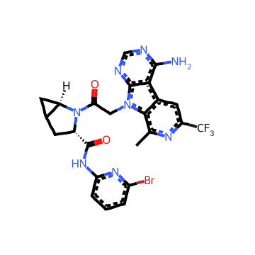 Cc1nc(C(F)(F)F)cc2c3c(N)ncnc3n(CC(=O)N3[C@@H]4CC4C[C@H]3C(=O)Nc3cccc(Br)n3)c12